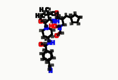 CC(C)(C)C(NC(=O)C(CC1CCCC1)CN(O)C=O)C(=O)N1CCC(NC(=O)c2ccc(C#N)cc2)CC1